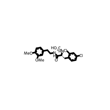 COc1ccc(CCNC(=O)[C@@H](Cc2ccc(Cl)cc2Cl)NC(=O)O)cc1OC